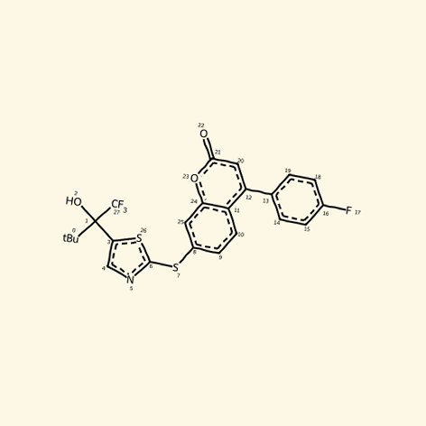 CC(C)(C)C(O)(c1cnc(Sc2ccc3c(-c4ccc(F)cc4)cc(=O)oc3c2)s1)C(F)(F)F